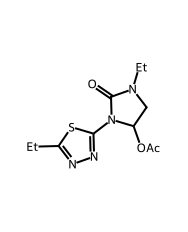 CCc1nnc(N2C(=O)N(CC)CC2OC(C)=O)s1